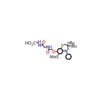 CCCCC1(CCCC)CSc2cc(OCC(=O)NCC(=O)NCC(=O)O)c(SC)cc2N(c2ccccc2)C1